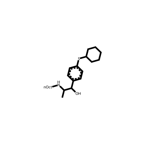 CCCCCCCCNC(C)C(O)c1ccc(SC2CCCCC2)cc1